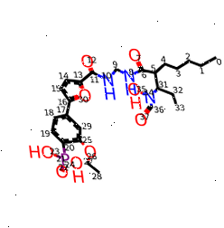 CCCCCC(C(=O)NCNC(=O)c1ccc(-c2ccc(P(=O)(O)O)c(OCC)c2)o1)C(CC)N(O)C=O